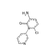 Nc1ccc(Cl)n(-c2cccnc2)c1=O